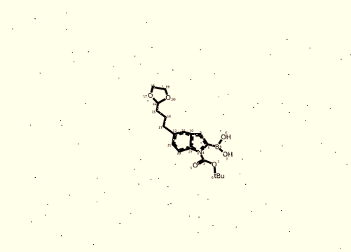 CC(C)(C)OC(=O)n1c(B(O)O)cc2cc(CCCC3OCCO3)ccc21